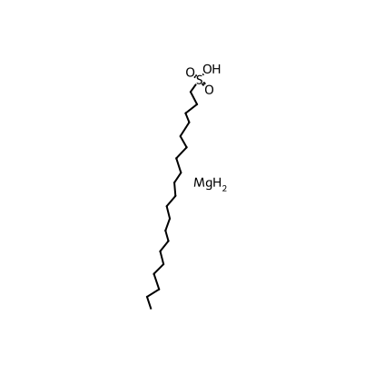 CCCCCCCCCCCCCCCCCCCCS(=O)(=O)O.[MgH2]